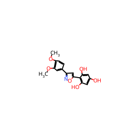 COc1ccc(-c2cc(-c3c(O)cc(O)cc3O)on2)cc1OC